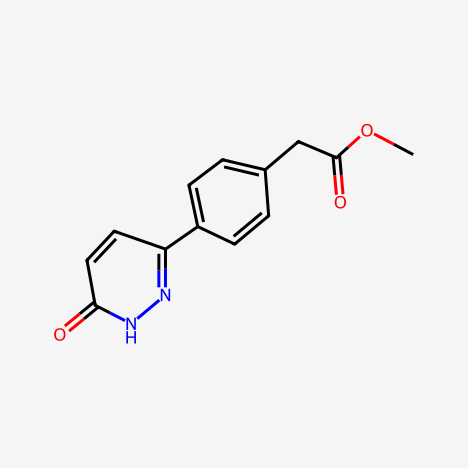 COC(=O)Cc1ccc(-c2ccc(=O)[nH]n2)cc1